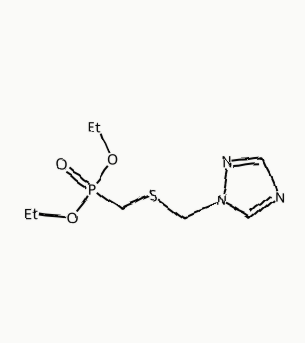 CCOP(=O)(CSCn1cncn1)OCC